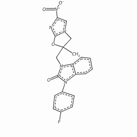 CC1(Cn2c(=O)n(-c3ccc(F)cc3)c3ccccc32)Cn2cc([N+](=O)[O-])nc2O1